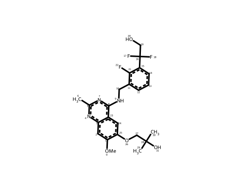 COc1cc2nc(C)nc(NCc3cccc(C(F)(F)CO)c3F)c2cc1OCC(C)(C)O